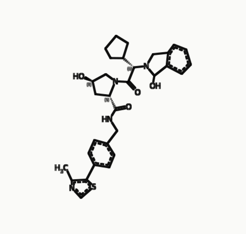 Cc1ncsc1-c1ccc(CNC(=O)[C@@H]2C[C@@H](O)CN2C(=O)[C@H](C2CCCC2)N2Cc3ccccc3C2O)cc1